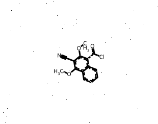 COc1c(C#N)c(OC)c2ccccc2c1C(=O)Cl